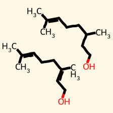 CC(C)=CCCC(C)=CCO.CC(C)=CCCC(C)CCO